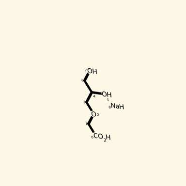 O=C(O)[CH]OCC(O)CO.[NaH]